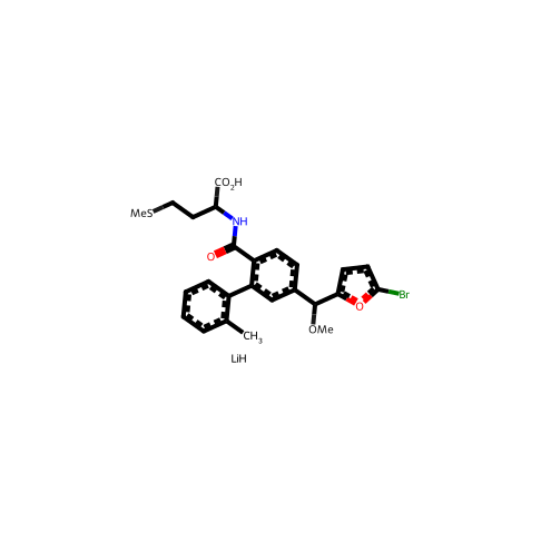 COC(c1ccc(C(=O)NC(CCSC)C(=O)O)c(-c2ccccc2C)c1)c1ccc(Br)o1.[LiH]